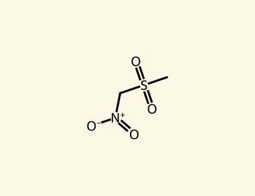 CS(=O)(=O)C[N+](=O)[O-]